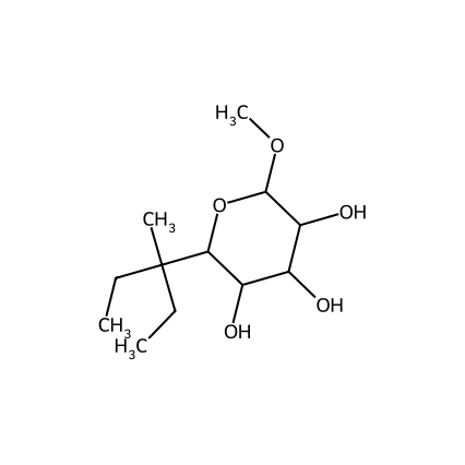 CCC(C)(CC)C1OC(OC)C(O)C(O)C1O